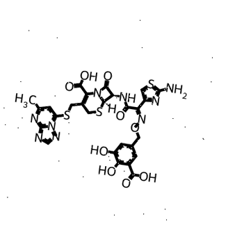 Cc1cc(SCC2=C(C(=O)O)N3C(=O)[C@@H](NC(=O)/C(=N\OCc4cc(O)c(O)c(C(=O)O)c4)c4csc(N)n4)[C@H]3SC2)n2ncnc2n1